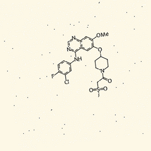 COc1cc2ncnc(Nc3ccc(F)c(Cl)c3)c2cc1OC1CCN(C(=O)CS(C)(=O)=O)CC1